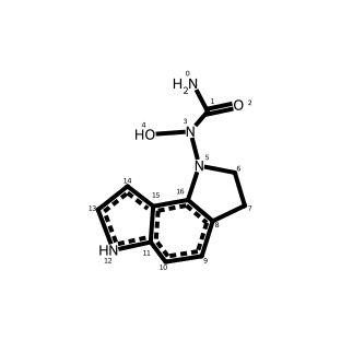 NC(=O)N(O)N1CCc2ccc3[nH]ccc3c21